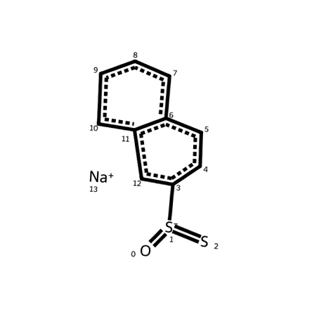 O=[S-](=S)c1ccc2ccccc2c1.[Na+]